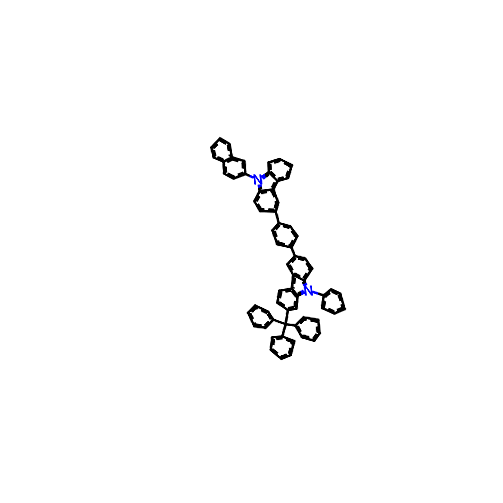 c1ccc(-n2c3ccc(-c4ccc(-c5ccc6c(c5)c5ccccc5n6-c5ccc6ccccc6c5)cc4)cc3c3ccc(C(c4ccccc4)(c4ccccc4)c4ccccc4)cc32)cc1